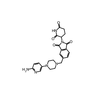 Nc1ccc(N2CCN(Cc3ccc4c(c3)C(=O)N(C3CCC(=O)NC3=O)C4=O)CC2)cn1